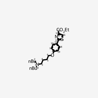 CCCCN(CCCC)CCCCOc1ccc(-c2nc(C(=O)OCC)cs2)cc1